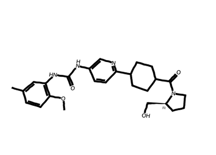 COc1ccc(C)cc1NC(=O)Nc1ccc(C2CCC(C(=O)N3CCC[C@H]3CO)CC2)nc1